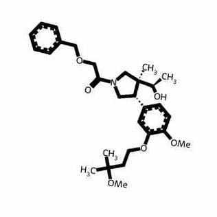 COc1ccc([C@@H]2CN(C(=O)COCc3ccccc3)C[C@@]2(C)[C@@H](C)O)cc1OCCC(C)(C)OC